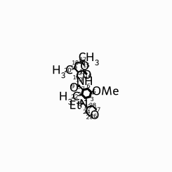 CCN(c1cc(OC)cc(C(=O)NCC2C(=O)OC(C)CC2C)c1C)C1CCOCC1